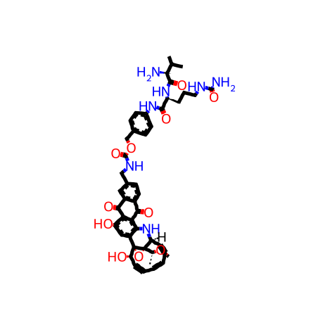 CO[C@H](C)[C@@]12O[C@]13c1cc(O)c4c(c1N[C@H]2C#C/C=C\C#C[C@H]3O)C(=O)c1ccc(CNC(=O)OCc2ccc(NC(=O)[C@H](CCCNC(N)=O)NC(=O)[C@@H](N)C(C)C)cc2)cc1C4=O